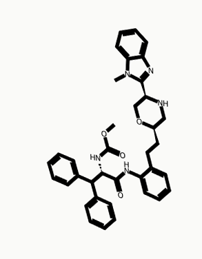 COC(=O)N[C@H](C(=O)Nc1ccccc1CC[C@@H]1CN[C@H](c2nc3ccccc3n2C)CO1)C(c1ccccc1)c1ccccc1